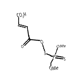 COP(=S)(OC)SOC(=O)C=CC(=O)O